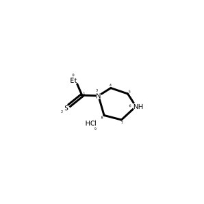 CCC(=S)N1CCNCC1.Cl